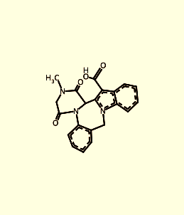 CN1CC(=O)N2c3ccccc3Cn3c(c(C(=O)O)c4ccccc43)C2C1=O